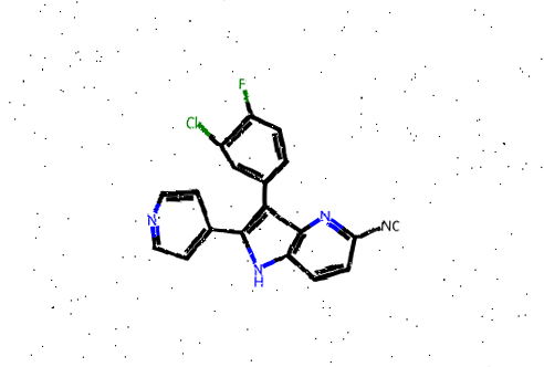 [C-]#[N+]c1ccc2[nH]c(-c3ccncc3)c(-c3ccc(F)c(Cl)c3)c2n1